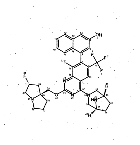 Oc1cc(-c2c(C(F)(F)F)cc3c(N4C[C@H]5CC[C@@H](C4)N5)nc(OC[C@@]45CCCN4C[C@H](F)C5)nc3c2F)c2ccccc2c1